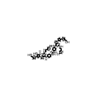 CCn1cnc(CCNc2nc(N[C@H]3CC[C@H](NC(=O)N[C@H]4CC[C@H](Nc5nc(NCCc6cn(CC)cn6)nc6c5ncn6[C@@H]5C[C@H](n6ncc(CO)n6)[C@@H](O)[C@H]5O)CC4)CC3)c3ncn([C@H]4CC[C@@H](n5ncc(CO)n5)C4)c3n2)c1